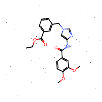 CCOC(=O)c1cccc(Cn2cnc(NC(=O)c3ccc(OC)c(OC)c3)c2)c1